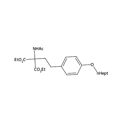 CCCCCCCOc1ccc(CCC(NC(C)=O)(C(=O)OCC)C(=O)OCC)cc1